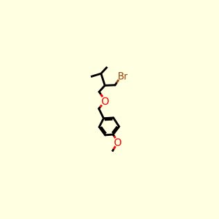 COc1ccc(COCC(CBr)C(C)C)cc1